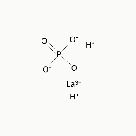 O=P([O-])([O-])[O-].[H+].[H+].[La+3]